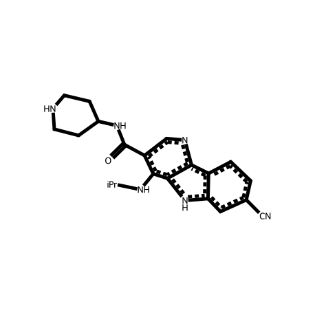 CC(C)Nc1c(C(=O)NC2CCNCC2)cnc2c1[nH]c1cc(C#N)ccc12